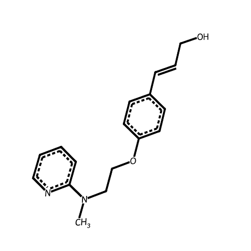 CN(CCOc1ccc(C=CCO)cc1)c1ccccn1